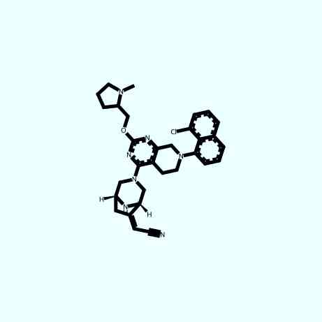 CN1CCCC1COc1nc2c(c(N3C[C@H]4C/C(=C/C#N)[C@@H](C3)N4)n1)CCN(c1cccc3cccc(Cl)c13)C2